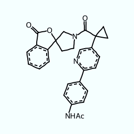 CC(=O)Nc1ccc(-c2ccc(C3(C(=O)N4CCC5(C4)OC(=O)c4ccccc45)CC3)cn2)cc1